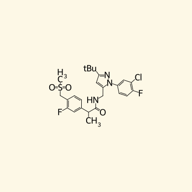 CC(C(=O)NCc1cc(C(C)(C)C)nn1-c1ccc(F)c(Cl)c1)c1ccc(CS(C)(=O)=O)c(F)c1